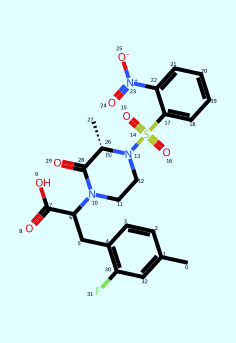 Cc1ccc(CC(C(=O)O)N2CCN(S(=O)(=O)c3ccccc3[N+](=O)[O-])[C@@H](C)C2=O)c(F)c1